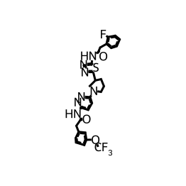 O=C(Cc1cccc(OC(F)(F)F)c1)Nc1ccc(N2CCCC(c3nnc(NC(=O)Cc4ccccc4F)s3)C2)nn1